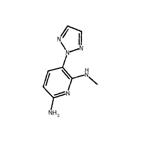 CNc1nc(N)ccc1-n1nccn1